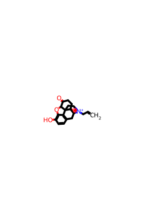 C=CC[N+]12CCC34c5c6ccc(O)c5OC3C(=O)CCC4(OC1)C2C6